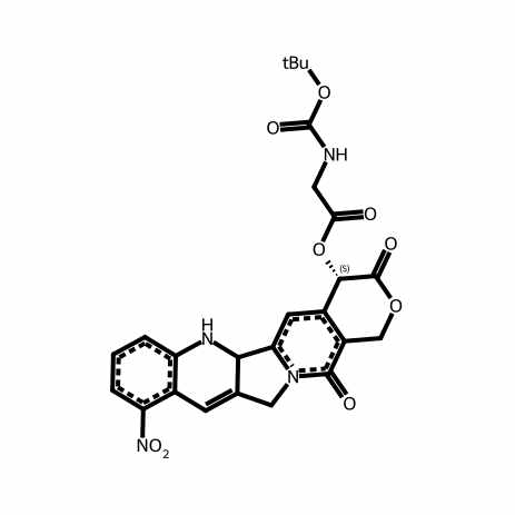 CC(C)(C)OC(=O)NCC(=O)O[C@@H]1C(=O)OCc2c1cc1n(c2=O)CC2=Cc3c(cccc3[N+](=O)[O-])NC21